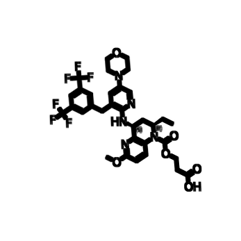 CC[C@@H]1C[C@H](Nc2ncc(N3CCOCC3)cc2Cc2cc(C(F)(F)F)cc(C(F)(F)F)c2)c2nc(OC)ccc2N1C(=O)OCCC(=O)O